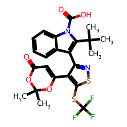 CC1(C)OC(=O)C=C(c2c(-c3c(C(C)(C)C)n(C(=O)O)c4ccccc34)nsc2SC(F)(F)F)O1